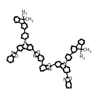 CC1(C)c2ccccc2-c2cc(-c3ccc(-n4c5ccc(-c6nc7ccccc7o6)cc5c5cc(-c6nc7cc(-c8cccc9nc(-c%10ccc%11c(c%10)c%10cc(-c%12nc%13ccccc%13o%12)ccc%10n%11-c%10ccc(-c%11ccc%12c(c%11)C(C)(C)c%11ccccc%11-%12)cc%10)oc89)ccc7o6)ccc54)cc3)ccc21